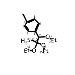 CCOC(c1ccc(C)cc1)C([SiH3])(OCC)OCC